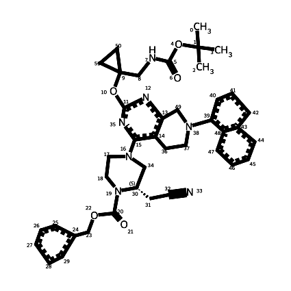 CC(C)(C)OC(=O)NCC1(Oc2nc3c(c(N4CCN(C(=O)OCc5ccccc5)[C@@H](CC#N)C4)n2)CCN(c2cccc4ccccc24)C3)CC1